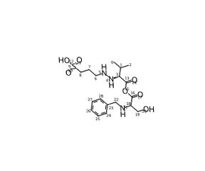 CC(C)[C@H](NNCCCS(=O)(=O)O)C(=O)OC(=O)C(CO)NCc1ccccc1